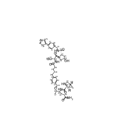 Cc1ncsc1-c1ccc(CNC(=O)[C@@H]2C[C@@H](O)CN2C(=O)[C@@H](NC(=O)CCCCc2ccc(CO[C@H](C)[C@H](CCC(N)=O)NC(=O)[C@H]3NC[C@H]4C[C@H]43)cc2)C(C)(C)C)cc1